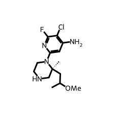 COC(C)C[C@@]1(C)CNCCN1c1cc(N)c(Cl)c(F)n1